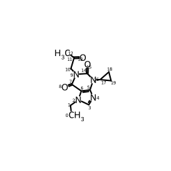 CCn1cnc2c1c(=O)n(CC(C)=O)c(=O)n2C1CC1